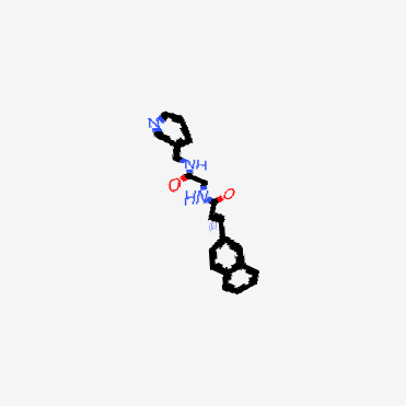 O=C(/C=C/c1ccc2ccccc2c1)NCC(=O)NCc1cccnc1